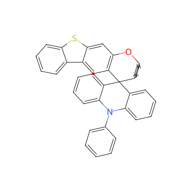 c1ccc(N2c3ccccc3C3(c4ccccc4Oc4cc5sc6ccccc6c5cc43)c3ccccc32)cc1